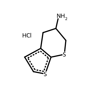 Cl.NC1CSc2sccc2C1